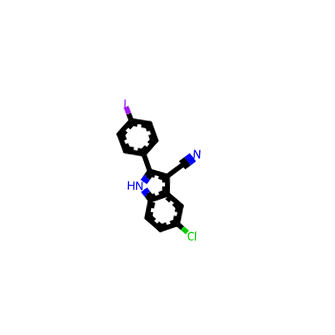 N#Cc1c(-c2ccc(I)cc2)[nH]c2ccc(Cl)cc12